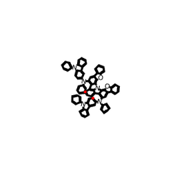 c1ccc(N(c2ccc3c(c2)c2ccccc2n3-c2ccccc2)c2cc3c4ccccc4oc3c3c2c2cccc4c5c(N(c6ccccc6)c6ccc7c(c6)c6ccccc6n7-c6ccccc6)cc6c7ccccc7oc6c5n3c24)cc1